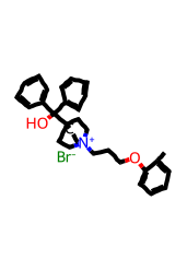 Cc1ccccc1OCCC[N+]12CCC(C(O)(c3ccccc3)c3ccccc3)(CC1)CC2.[Br-]